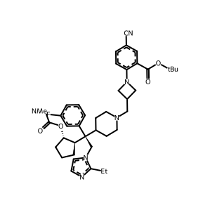 CCc1nccn1C[C@@](c1cccc(F)c1)(C1CCN(CC2CN(c3ccc(C#N)cc3C(=O)OC(C)(C)C)C2)CC1)[C@H]1CCC[C@@H]1OC(=O)NC